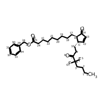 CCCCC(F)(F)C(=O)CC[C@H]1C=CC(=O)[C@@H]1CCCCCCCCC(=O)OCc1ccccc1